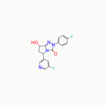 O=c1n(-c2ccc(F)cc2)nc2n1C(c1cncc(F)c1)CC2O